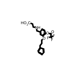 O=C(O)C(F)(F)F.O=C(O)CCNCc1cccc(OCCCc2ccccc2)c1